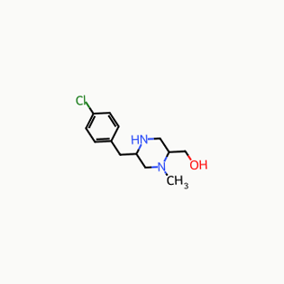 CN1CC(Cc2ccc(Cl)cc2)NCC1CO